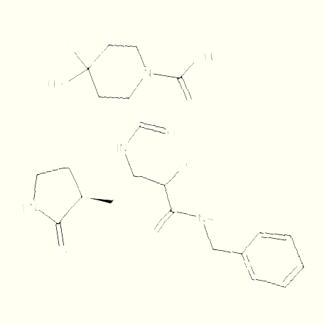 CC1(C)CCN(C(=O)O)[C@H](C(=O)N[C@@H](C[C@@H]2CCNC2=O)C(O)C(=O)NCc2ccccc2)C1